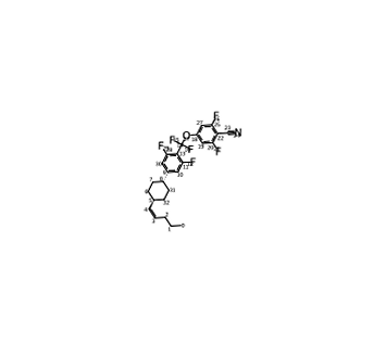 CCC/C=C\[C@H]1CC[C@H](c2cc(F)c(C(F)(F)Oc3cc(F)c(C#N)c(F)c3)c(F)c2)CC1